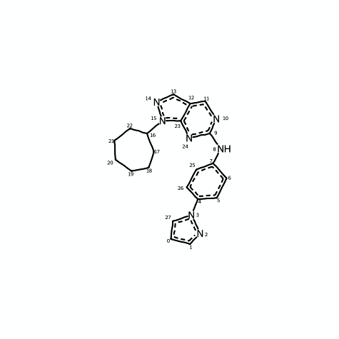 c1cnn(-c2ccc(Nc3ncc4cnn(C5CCCCCC5)c4n3)cc2)c1